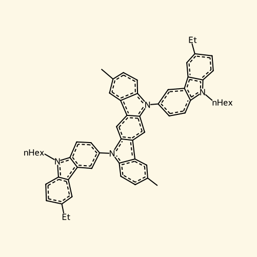 CCCCCCn1c2ccc(CC)cc2c2cc(-n3c4ccc(C)cc4c4cc5c(cc43)c3cc(C)ccc3n5-c3ccc4c(c3)c3cc(CC)ccc3n4CCCCCC)ccc21